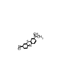 CN(C)c1ccc2nc3cc/c(=N\Cl)cc-3sc2c1